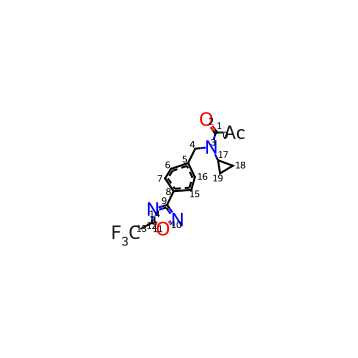 CC(=O)C(=O)N(Cc1ccc(-c2noc(C(F)(F)F)n2)cc1)C1CC1